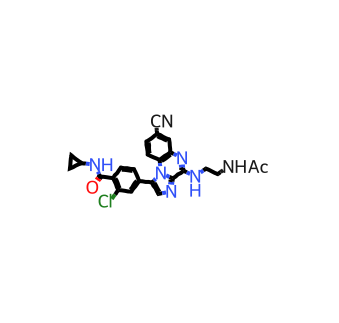 CC(=O)NCCNc1nc2cc(C#N)ccc2n2c(-c3ccc(C(=O)NC4CC4)c(Cl)c3)cnc12